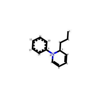 CCCC1C=CC=CN1c1ccccc1